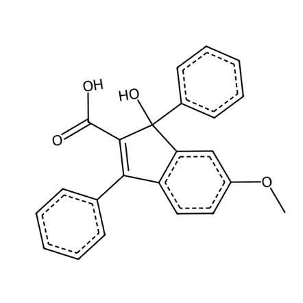 COc1ccc2c(c1)C(O)(c1ccccc1)C(C(=O)O)=C2c1ccccc1